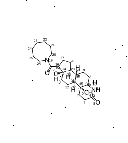 C[C@]12CCC(=O)N[C@@H]1CC[C@@H]1[C@@H]2CC[C@]2(C)[C@@H](C(=O)N3CCCCCCC3)CC[C@@H]12